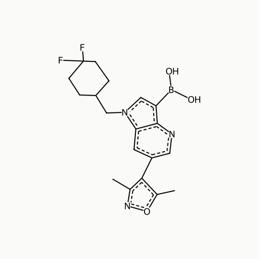 Cc1noc(C)c1-c1cnc2c(B(O)O)cn(CC3CCC(F)(F)CC3)c2c1